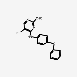 N#Cc1cnc(C=O)nc1Nc1ccc(Oc2ccccc2)cc1